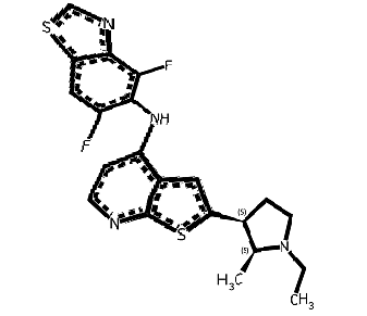 CCN1CC[C@H](c2cc3c(Nc4c(F)cc5scnc5c4F)ccnc3s2)[C@@H]1C